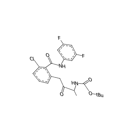 CC(NC(=O)OC(C)(C)C)C(=O)Cc1cccc(Cl)c1C(=O)Nc1cc(F)cc(F)c1